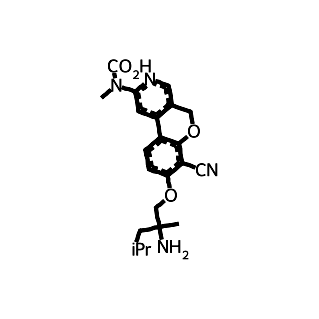 CC(C)CC(C)(N)COc1ccc2c(c1C#N)OCc1cnc(N(C)C(=O)O)cc1-2